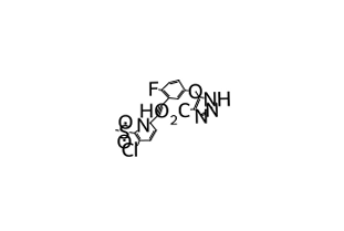 CS(=O)(=O)c1nc(C#Cc2cc(Oc3[nH]nnc3C(=O)O)ccc2F)ccc1Cl